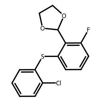 Fc1cccc(Sc2ccccc2Cl)c1C1OCCO1